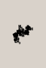 COC(=O)c1cccc(N2N=C(C)C(C(=O)Nc3cccc(-c4ncc[nH]4)c3)C2=O)c1